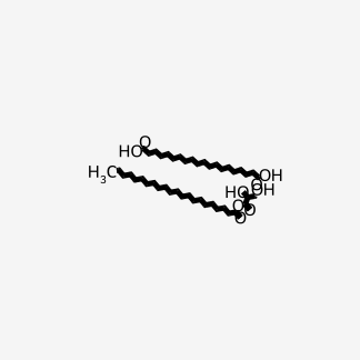 CCCCCCCCCCCCCCCCCCCCCC(=O)OC(=O)C(O)CO.O=C(O)CCCCCCCCCCCCCCCCCCC(=O)O